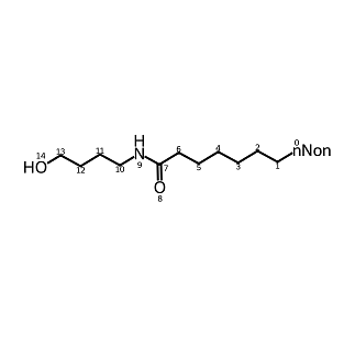 CCCCCCCCCCCCCCCC(=O)NCCCCO